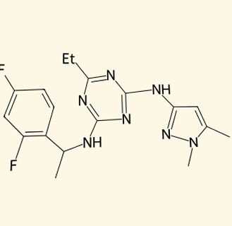 CCc1nc(Nc2cc(C)n(C)n2)nc(NC(C)c2ccc(F)cc2F)n1